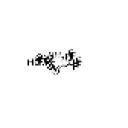 CC(N)(CCc1ccc(C(=O)CCCCc2cc(C(F)(F)F)cc(C(F)(F)F)c2)s1)COP(=O)(O)O